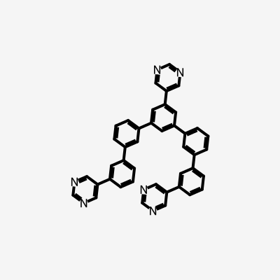 c1cc(-c2cncnc2)cc(-c2cccc(-c3cc(-c4cncnc4)cc(-c4cccc(-c5cccc(-c6cncnc6)c5)c4)c3)c2)c1